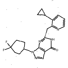 O=c1[nH]c(Cc2ncccc2C2CC2)nc2c1cnn2C1CCC(F)(F)CC1